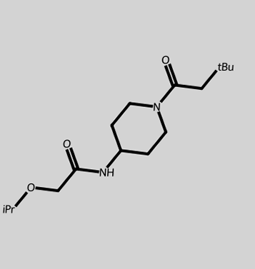 CC(C)OCC(=O)NC1CCN(C(=O)CC(C)(C)C)CC1